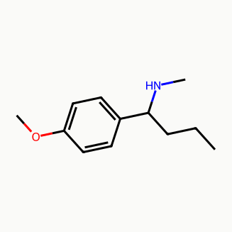 CCCC(NC)c1ccc(OC)cc1